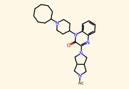 CC(=O)N1CC2CN(c3nc4ccccc4n(C4CCN(C5CCCCCCC5)CC4)c3=O)CC2C1